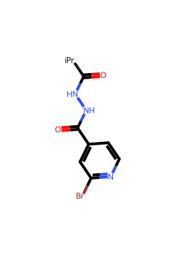 CC(C)C(=O)NNC(=O)c1ccnc(Br)c1